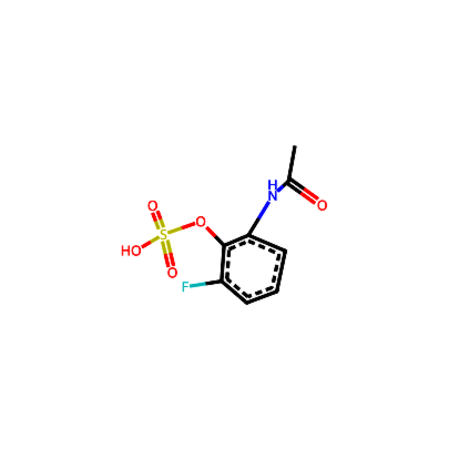 CC(=O)Nc1cccc(F)c1OS(=O)(=O)O